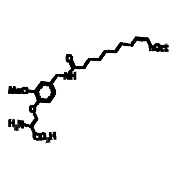 CCCCCCCC/C=C\CCCCCCCC(=O)NCc1ccc(OCC(N)C(=O)O)c(OC)c1